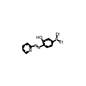 CCN(CC)c1ccc(/N=N/c2ccccn2)c(O)c1